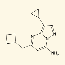 Nc1cc(CC2CCC2)nc2c(C3CC3)cnn12